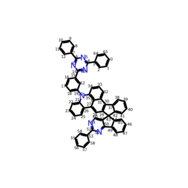 c1ccc(-c2nc(-c3ccccc3)nc(-c3cccc(N4c5ccccc5-c5cc6c(c7cccc4c57)-c4ccccc4C64c5ccccc5-c5nc(-c6ccccc6)ncc54)c3)n2)cc1